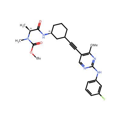 COc1nc(Nc2cccc(F)c2)ncc1C#CC1CCC[C@H](NC(=O)[C@H](C)N(C)C(=O)OC(C)(C)C)C1